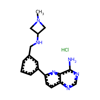 CN1CC(NCc2cccc(-c3ccc4ncnc(N)c4n3)c2)C1.Cl